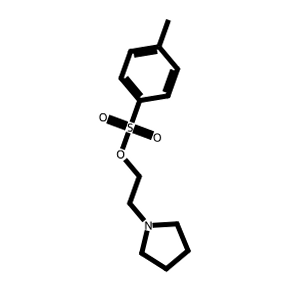 Cc1ccc(S(=O)(=O)OCCN2CCCC2)cc1